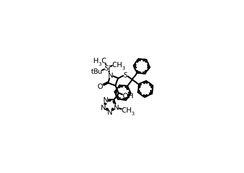 Cn1nnnc1C(O)C1C(=O)N([Si](C)(C)C(C)(C)C)C1SC(c1ccccc1)(c1ccccc1)c1ccccc1